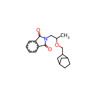 CC(CN1C(=O)c2ccccc2C1=O)OCC1CC2CCC1C2